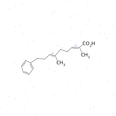 C/C(=C\CCc1ccccc1)CC/C=C(\C)C(=O)O